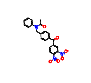 CC(=O)N(Cc1ccc(C(=O)c2ccc([N+](=O)[O-])c([N+](=O)[O-])c2)cc1)c1ccccc1